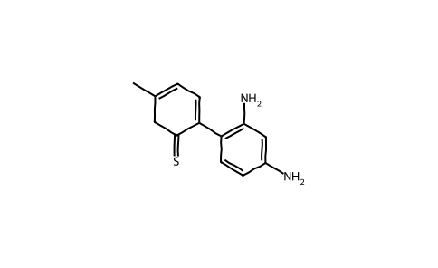 CC1=CC=C(c2ccc(N)cc2N)C(=S)C1